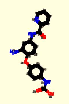 Nc1cc(NC(=O)c2ccccn2)ccc1Oc1ccc(NC(=O)O)cc1